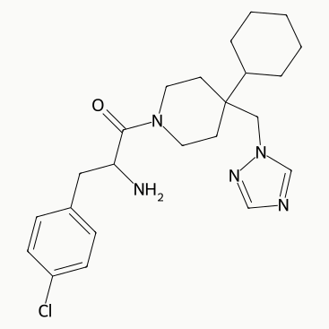 NC(Cc1ccc(Cl)cc1)C(=O)N1CCC(Cn2cncn2)(C2CCCCC2)CC1